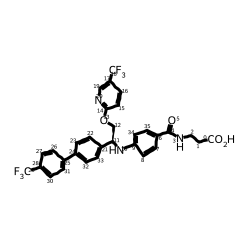 O=C(O)CCNC(=O)c1ccc(N[C@H](COc2ccc(C(F)(F)F)cn2)c2ccc(-c3ccc(C(F)(F)F)cc3)cc2)cc1